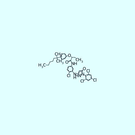 CCCCCC(C)(C)c1ccc(OC(CC)C(=O)Nc2ccc(Cl)c(Nc3cc(=O)n(-c4c(Cl)cc(Cl)cc4Cl)[nH]3)c2)cc1